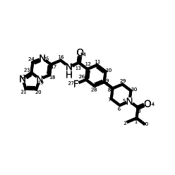 CC(C)C(=O)N1CCC(c2ccc(C(=O)NCc3cn4ccnc4cn3)c(F)c2)CC1